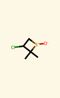 CC1(C)C(Cl)C[S+]1[O-]